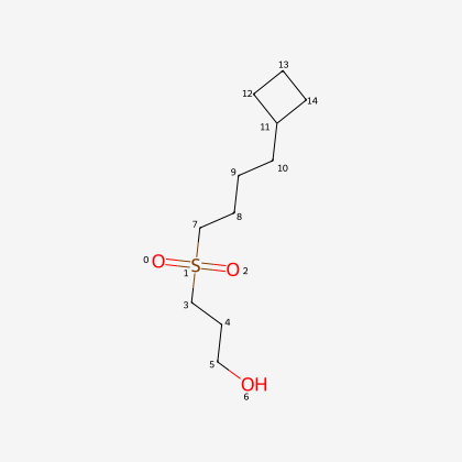 O=S(=O)(CCCO)CCCCC1CCC1